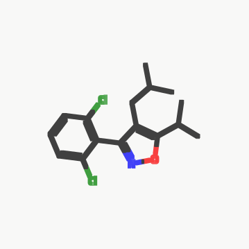 CC(C)Cc1c(-c2c(Cl)cccc2Cl)noc1C(C)C